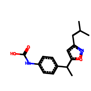 CC(C)Cc1cc(C(C)c2ccc(NC(=O)O)cc2)on1